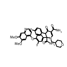 COc1cc2nccc(Oc3ccc(C4(C(N)=O)C(c5ccc(F)cc5)C(=O)C(C(N)=O)=CN4CC4CCOCC4)cc3F)c2cc1OC